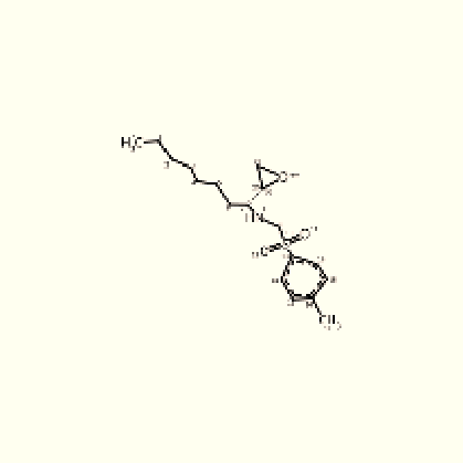 CCCCCCCC(NCS(=O)(=O)c1ccc(C)cc1)[C@@H]1CO1